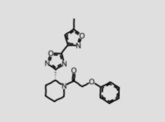 Cc1cc(-c2nc([C@H]3CCCCN3C(=O)COc3ccccc3)no2)no1